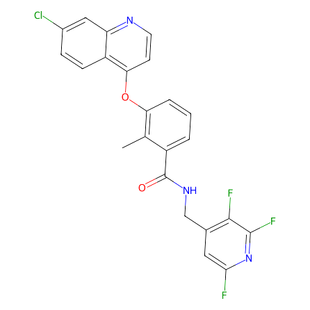 Cc1c(Oc2ccnc3cc(Cl)ccc23)cccc1C(=O)NCc1cc(F)nc(F)c1F